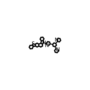 c1ccc(-c2cc(-c3ccc(-n4c5ccccc5c5c6cc7sc8ccccc8c7cc6ccc54)nc3)cc(-c3ccccn3)c2)nc1